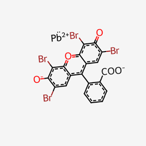 O=C([O-])c1ccccc1-c1c2cc(Br)c(=O)c(Br)c-2oc2c(Br)c([O-])c(Br)cc12.[Pb+2]